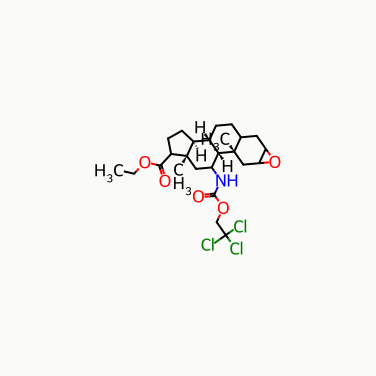 CCOC(=O)C1CC[C@H]2[C@@H]3CCC4CC5OC5C[C@]4(C)[C@@H]3C(NC(=O)OCC(Cl)(Cl)Cl)C[C@]12C